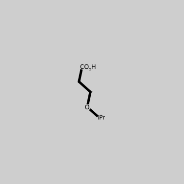 CC(C)O[CH]CC(=O)O